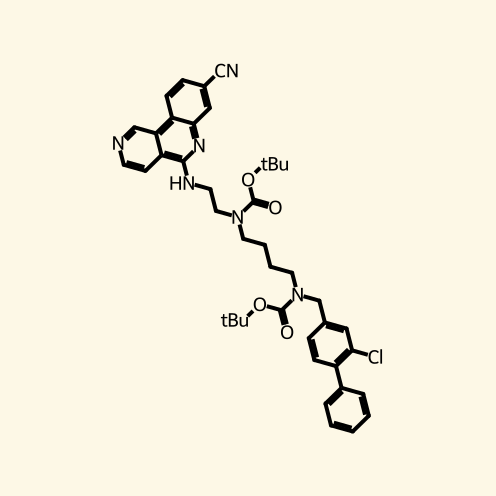 CC(C)(C)OC(=O)N(CCCCN(Cc1ccc(-c2ccccc2)c(Cl)c1)C(=O)OC(C)(C)C)CCNc1nc2cc(C#N)ccc2c2cnccc12